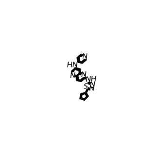 c1cc(Nc2cnc3ccc(Nc4nnc(C5CCCC5)s4)nc3c2)ccn1